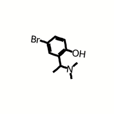 CC(c1cc(Br)ccc1O)N(C)C